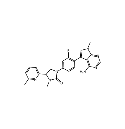 Cc1cccc(C2CN(c3ccc(-c4cn(C)c5ncnc(N)c45)c(F)c3)C(=O)N2C)n1